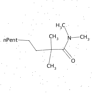 CCCCCCCC(C)(C)C(=O)N(C)C